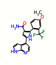 COc1ccc(-c2[nH]c(-c3ccnc4[nH]ccc34)cc2C(N)=O)c(C(F)(F)F)c1